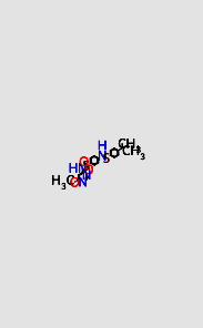 COc1cc(NS(=O)(=O)c2ccc(NSc3ccc(C(C)C)cc3)cc2)ncn1